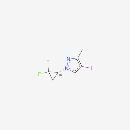 Cc1nn([C@@H]2CC2(F)F)cc1I